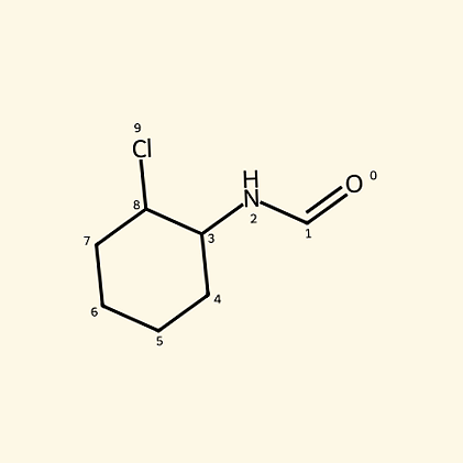 O=CNC1CCCCC1Cl